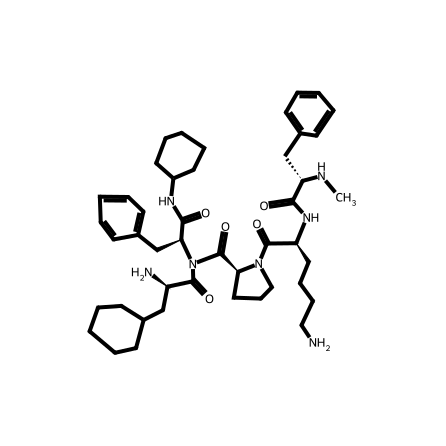 CN[C@@H](Cc1ccccc1)C(=O)N[C@@H](CCCCN)C(=O)N1CCC[C@H]1C(=O)N(C(=O)[C@H](N)CC1CCCCC1)[C@@H](Cc1ccccc1)C(=O)NC1CCCCC1